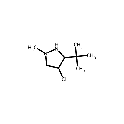 CN1CC(Cl)C(C(C)(C)C)N1